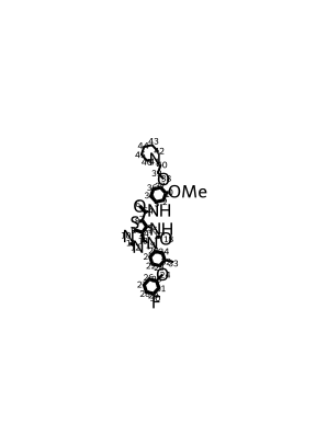 COc1cc(NC(=O)c2sc3ncnc4c3c2NC(=O)N4c2ccc(Oc3cccc(F)c3)c(C)c2)ccc1OCCN1CCCCC1